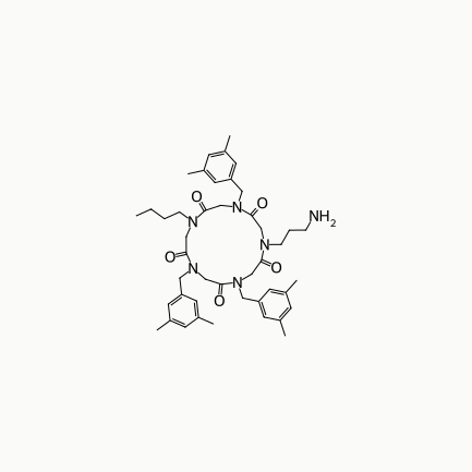 CCCCN1CC(=O)N(Cc2cc(C)cc(C)c2)CC(=O)N(Cc2cc(C)cc(C)c2)CC(=O)N(CCCN)CC(=O)N(Cc2cc(C)cc(C)c2)CC1=O